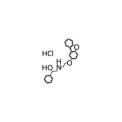 Cl.OC(CNCCOc1ccc2oc3ccccc3c2c1)c1ccccc1